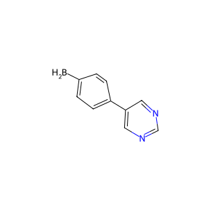 Bc1ccc(-c2cncnc2)cc1